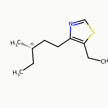 CCc1scnc1CC[C@@H](C)CC